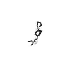 CCN(CC)C(=O)/C=C/c1ccc(N2CCCC2)cc1